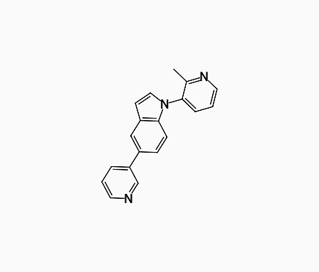 Cc1ncccc1-n1ccc2cc(-c3cccnc3)ccc21